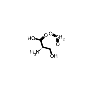 N[C@@H](CO)C(=O)O.O=[SH2]=O